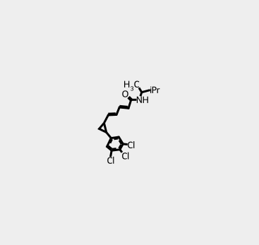 CC(C)C(C)NC(=O)C=CC=CC1CC1c1cc(Cl)c(Cl)c(Cl)c1